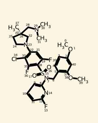 COc1ccc(CN(c2cccc(F)n2)S(=O)(=O)c2c(F)cc(N3CC[C@@](C)(CN(C)C)C3)c(Cl)c2F)c(OC)c1